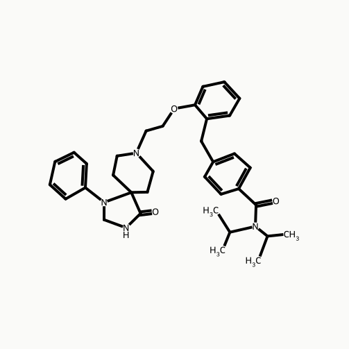 CC(C)N(C(=O)c1ccc(Cc2ccccc2OCCN2CCC3(CC2)C(=O)NCN3c2ccccc2)cc1)C(C)C